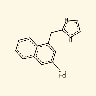 Cc1cc(Cc2ncc[nH]2)c2ccccc2c1.Cl